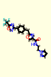 O=C(NCCn1cccn1)c1coc(Cc2ccc(-c3noc(C(F)(F)F)n3)cc2)n1